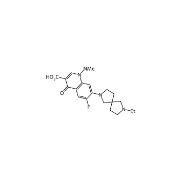 CCN1CCC2(CCN(c3cc4c(cc3F)c(=O)c(C(=O)O)cn4NC)C2)C1